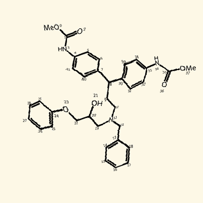 COC(=O)Nc1ccc(C(CCN(Cc2ccccc2)CC(O)COc2ccccc2)c2ccc(NC(=O)OC)cc2)cc1